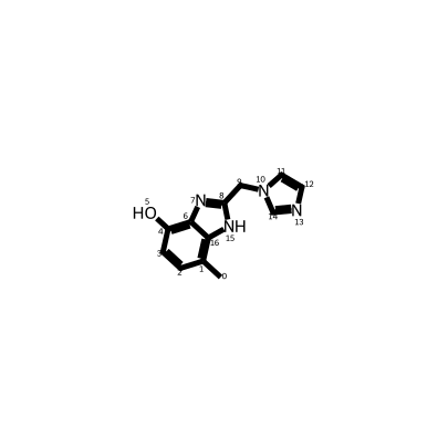 Cc1ccc(O)c2nc(Cn3ccnc3)[nH]c12